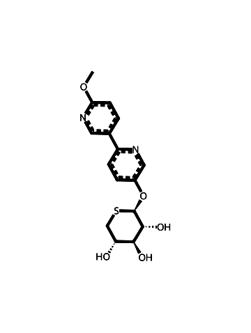 COc1ccc(-c2ccc(O[C@@H]3SC[C@@H](O)[C@H](O)[C@H]3O)cn2)cn1